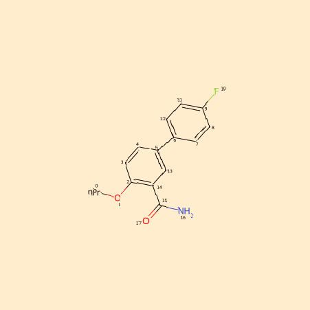 CCCOc1ccc(-c2ccc(F)cc2)cc1C(N)=O